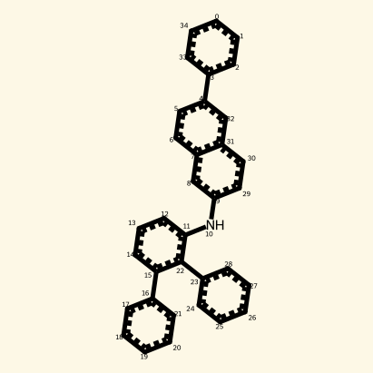 c1ccc(-c2ccc3cc(Nc4cccc(-c5ccccc5)c4-c4ccccc4)ccc3c2)cc1